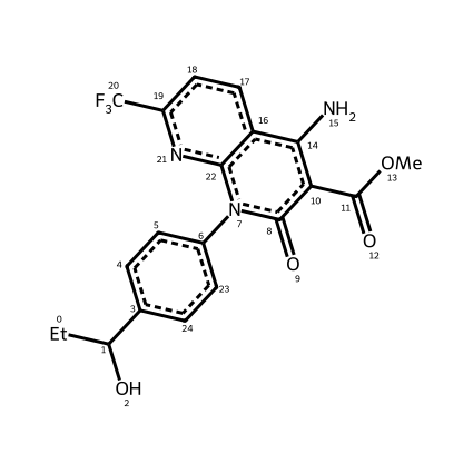 CCC(O)c1ccc(-n2c(=O)c(C(=O)OC)c(N)c3ccc(C(F)(F)F)nc32)cc1